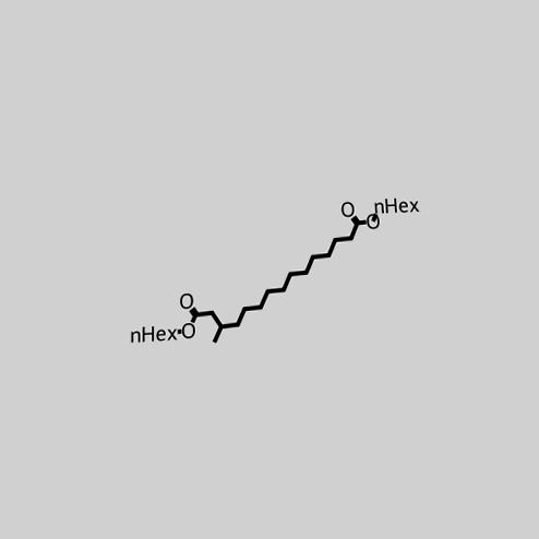 CCCCCCOC(=O)CCCCCCCCCCCC(C)CC(=O)OCCCCCC